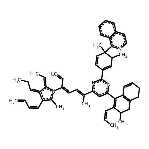 C=C/C=C\c1c(C)n(/C(C=C)=C/C=C(\C)c2cc(C3=C(/C=C\C)C(C)CC4=C3C=CCC4)nc(C3=CC(C)C(C)(c4nccc5ccccc45)C=C3)n2)c(=C/C)/c1=C\CC